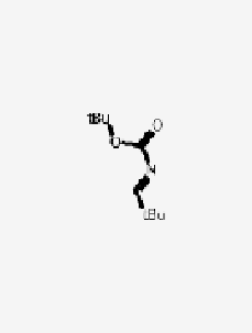 CC(C)(C)C=NC(=O)OC(C)(C)C